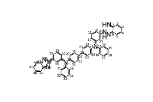 N=C1C=CC=C/C1=N/Nc1cccc(N(c2ccccc2)c2ccc(-c3ccc(N(c4ccccc4)c4cccc(-n5nc6ccccc6n5)c4)cc3)cc2)c1